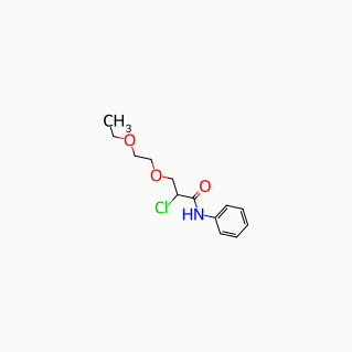 CCOCCOCC(Cl)C(=O)Nc1ccccc1